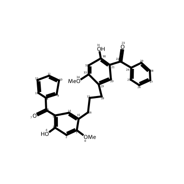 COc1cc(O)c(C(=O)c2ccccc2)cc1CCCc1cc(C(=O)c2ccccc2)c(O)cc1OC